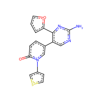 Nc1ncc(-c2ccc(=O)n(-c3ccsc3)c2)c(-c2ccco2)n1